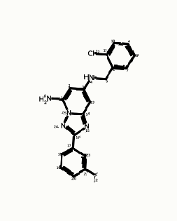 Nc1cc(NCc2ccccc2Cl)cc2nc(-c3cccc(F)c3)nn12